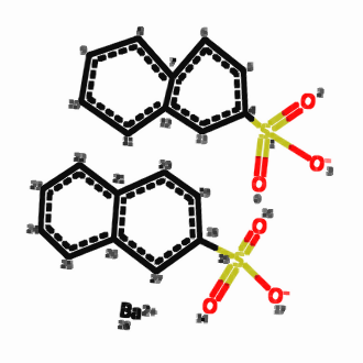 O=S(=O)([O-])c1ccc2ccccc2c1.O=S(=O)([O-])c1ccc2ccccc2c1.[Ba+2]